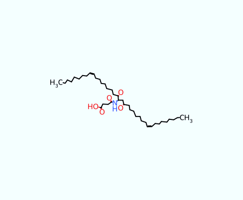 CCCCCCCC/C=C\CCCCCCCC(=O)CC(NC(=O)CCC(=O)O)C(=O)CCCCCCC/C=C\CCCCCCCC